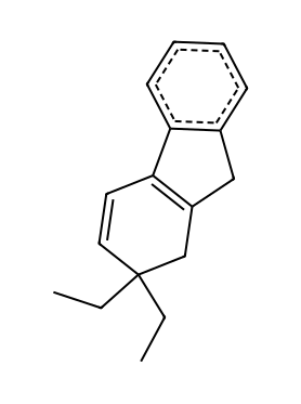 CCC1(CC)C=CC2=C(Cc3ccccc32)C1